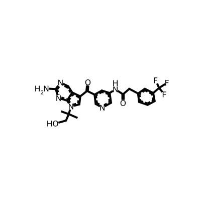 CC(C)(CO)n1cc(C(=O)c2cncc(NC(=O)Cc3cccc(C(F)(F)F)c3)c2)c2cnc(N)nc21